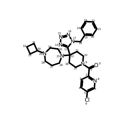 O=C(c1ccc(Cl)cn1)N1CCC(c2nnnn2Cc2ccccc2)(N2CCCN(C3CCC3)CC2)CC1